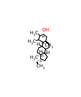 C=C[C@H]1CC[C@H]2[C@@H]3CC=C4C[C@@H](O)C(C)C(C)[C@]4(C)[C@H]3CC[C@]12C